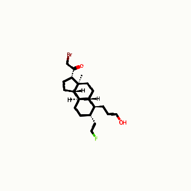 C[C@]12CC[C@H]3[C@@H](CC[C@@H](CCF)[C@@H]3CCCO)[C@@H]1CC[C@@H]2C(=O)CBr